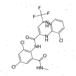 CNC(=O)c1cc(Cl)cc(Cl)c1NC(=O)/C(=C/C(=N)C(F)(F)F)Nc1ncccc1Cl